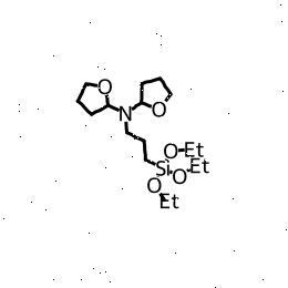 CCO[Si](CCCN(C1CCCO1)C1CCCO1)(OCC)OCC